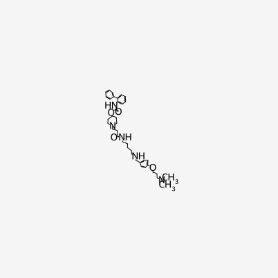 CN(C)CCCOc1ccc(CNCCCCCNC(=O)CCN2CCC(OC(=O)Nc3ccccc3-c3ccccc3)CC2)cc1